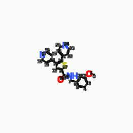 COc1cccc(CNC(=O)c2cc(-c3ccncc3)c(-c3ccncc3)s2)c1